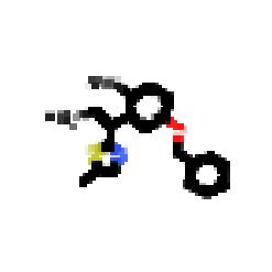 CCOC(=O)/C=C(\c1ncc(C)s1)c1cc(OCc2ccccc2)ccc1OC